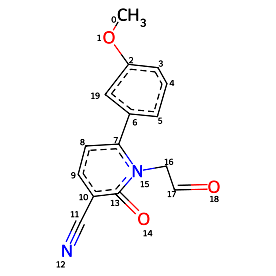 COc1cccc(-c2ccc(C#N)c(=O)n2CC=O)c1